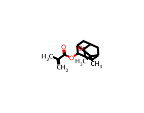 C=C(C)C(=O)OC1C2CC3CC(CC1C3(C)C)C2=O